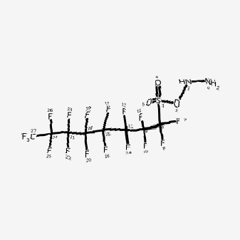 NNOS(=O)(=O)C(F)(F)C(F)(F)C(F)(F)C(F)(F)C(F)(F)C(F)(F)C(F)(F)C(F)(F)F